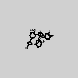 COc1ccc(C2CC(O)C2)cc1C(=O)N(c1ccc(F)c(C(F)(F)F)c1)[C@@H]1C[C@H]2CC[C@@H]1/C2=C\C1CC1